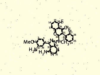 COc1ccc(-c2nn([C@@H](C)c3oc4cccc(F)c4c(=O)c3-c3ccccc3F)c3ncnc(N)c23)cc1N